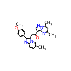 COc1ccc(-c2nc3ccc(C)cn3c2CC(=O)c2cnn3c(C)cc(C)nc23)cc1